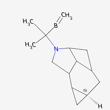 C=BC(C)(C)N1CC2C3C(CC31)C[C@H]1CC21